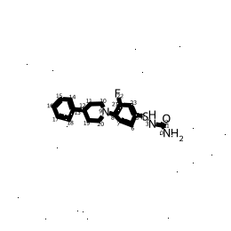 NC(=O)NSc1ccc(N2CCC(c3ccccc3)CC2)c(F)c1